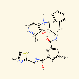 COc1cc(C(=O)NCc2nc(C)cs2)cc(C(=O)N[C@@H](Cc2ccccc2)[C@H](O)CN(C)c2ccnc(C(C)C)c2)c1